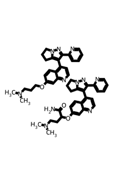 CN(C)CCC(Oc1ccc2c(-c3c(-c4ccccn4)nn4c3CCC4)ccnc2c1)C(N)=O.CN(C)CCCOc1ccc2c(-c3c(-c4ccccn4)nn4c3CCC4)ccnc2c1